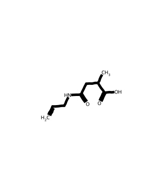 C=CCNC(=O)CC(C)C(=O)O